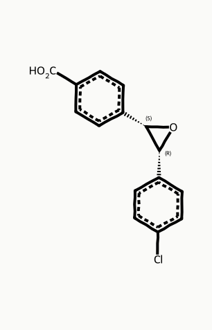 O=C(O)c1ccc([C@@H]2O[C@@H]2c2ccc(Cl)cc2)cc1